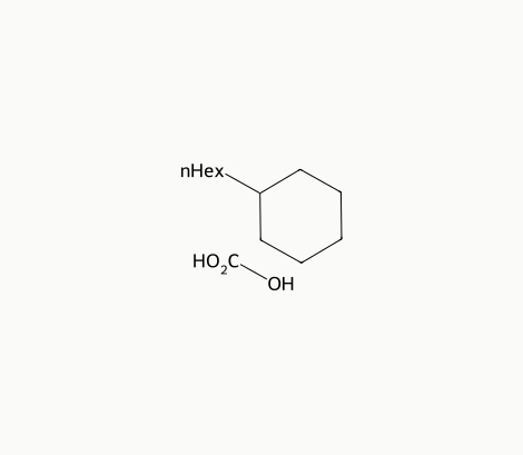 CCCCCCC1CCCCC1.O=C(O)O